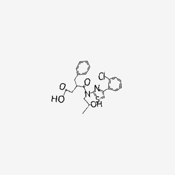 CC(O)CN(C(=O)C(CC(=O)O)Cc1ccccc1)c1nc(-c2ccccc2Cl)cs1